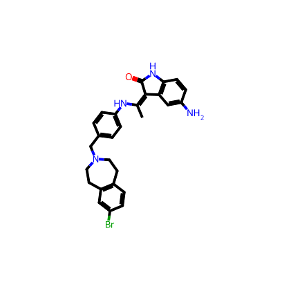 CC(Nc1ccc(CN2CCc3ccc(Br)cc3CC2)cc1)=C1C(=O)Nc2ccc(N)cc21